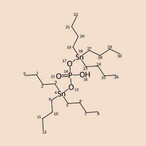 CCC[CH2][Sn]([CH2]CCC)([CH2]CCC)[O]P(=O)(O)[O][Sn]([CH2]CCC)([CH2]CCC)[CH2]CCC